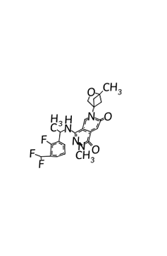 CC(Nc1nn(C)c(=O)c2cc(=O)n(C34COC(C)(C3)C4)cc12)c1cccc(C(F)F)c1F